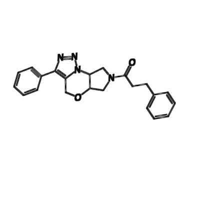 O=C(CCc1ccccc1)N1CC2OCc3c(-c4ccccc4)nnn3C2C1